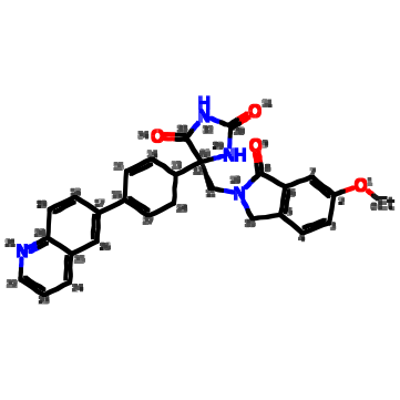 CCOc1ccc2c(c1)C(=O)N(C[C@]1(C3C=CC(c4ccc5ncccc5c4)=CC3)NC(=O)NC1=O)C2